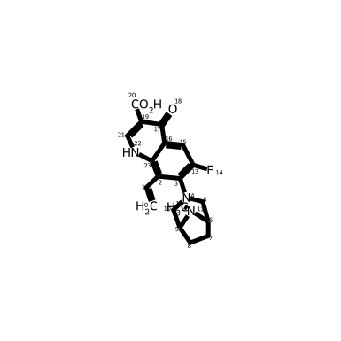 C=Cc1c(N2CC3CCC(C2)N3C)c(F)cc2c(=O)c(C(=O)O)c[nH]c12